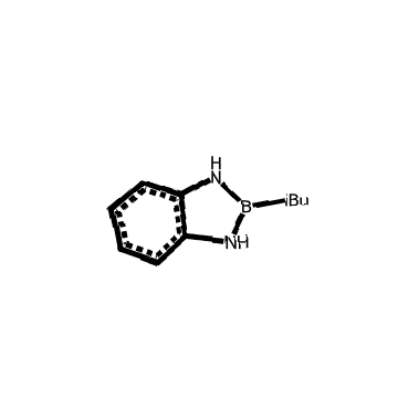 CCC(C)B1Nc2ccccc2N1